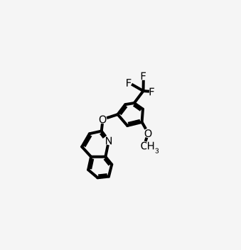 COc1cc(Oc2ccc3ccccc3n2)cc(C(F)(F)F)c1